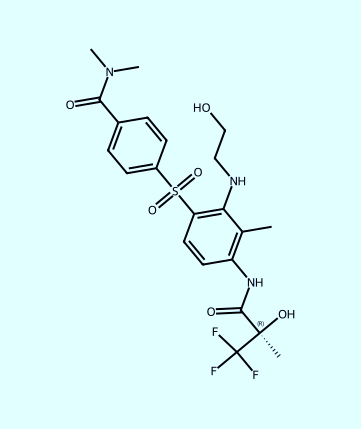 Cc1c(NC(=O)[C@@](C)(O)C(F)(F)F)ccc(S(=O)(=O)c2ccc(C(=O)N(C)C)cc2)c1NCCO